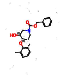 Cc1cccc(C)c1O[C@H]1CCN(C(=O)OCc2ccccc2)C[C@@H]1O